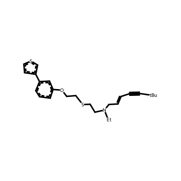 CCN(CC=CC#CC(C)(C)C)CCSCCOc1cccc(-c2ccsc2)c1